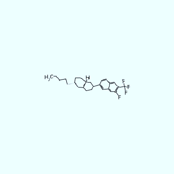 CCCCC[C@@H]1CC[C@@H]2CC(c3ccc4cc(C(F)(F)F)c(F)cc4c3)CCC2C1